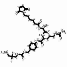 CC(=O)NCC(F)(F)CNC(=O)OCc1ccc(NC(=O)[C@H](CCCNC(N)=O)NC(=O)[C@@H](NC(=O)CCCCCN2C(=O)C=CC2=O)C(C)C)cc1